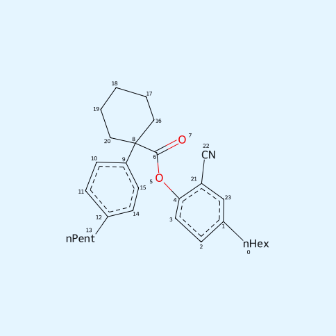 CCCCCCc1ccc(OC(=O)C2(c3ccc(CCCCC)cc3)CCCCC2)c(C#N)c1